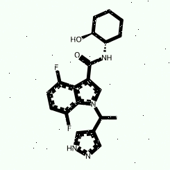 CC(c1cn[nH]c1)n1cc(C(=O)N[C@H]2CCCC[C@@H]2O)c2c(F)ccc(F)c21